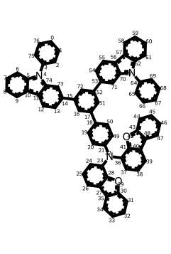 c1ccc(-n2c3ccccc3c3ccc(-c4cc(-c5ccc(N(c6cccc7c6oc6ccccc67)c6cccc7c6oc6ccccc67)cc5)cc(-c5ccc6c7ccccc7n(-c7ccccc7)c6c5)c4)cc32)cc1